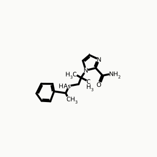 CC([AsH]CC(C)(C)n1c[c]nc1C(N)=O)c1ccccc1